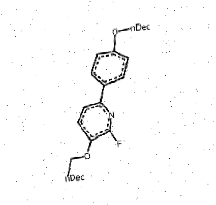 CCCCCCCCCCCOc1ccc(-c2ccc(OCCCCCCCCCC)cc2)nc1F